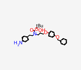 CC(C)(C)OC(=O)N(CCc1ccc(N)cc1)C[C@H](O)COc1ccc(OCc2ccccc2)cc1